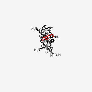 CCC(C)C(NC(=O)C(Cc1c[nH]c2ccccc12)NC(=O)C(CCCCN)NC(=O)C(CO)NC(=O)C(CC(C)C)NC(=O)C(Cc1ccccc1)NC(=O)C(NC(=O)C(CCCCN)NC(=O)C(CC(C)C)NC(=O)C(CC(C)C)NC(=O)C(CCCCN)NC(=O)C1CCCN1)C(C)O)C(=O)NCC(=O)O